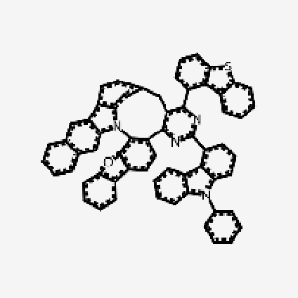 c1ccc(-n2c3ccccc3c3c(-c4nc5c(c(-c6cccc7sc8ccccc8c67)n4)Cc4ccc6c7cc8ccccc8cc7n(c6c4)-c4c-5ccc5c4oc4ccccc45)cccc32)cc1